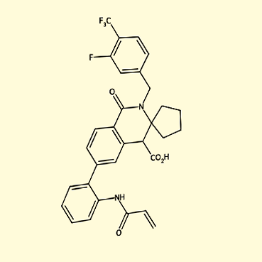 C=CC(=O)Nc1ccccc1-c1ccc2c(c1)C(C(=O)O)C1(CCCC1)N(Cc1ccc(C(F)(F)F)c(F)c1)C2=O